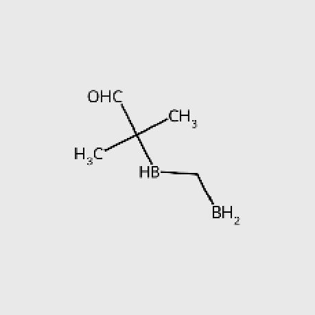 BCBC(C)(C)C=O